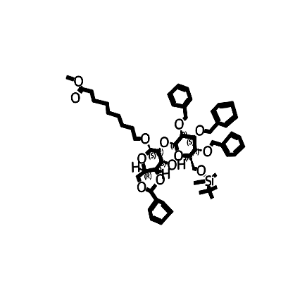 COC(=O)CCCCCCCCO[C@H]1O[C@@H]2COC(c3ccccc3)O[C@H]2[C@H](O)[C@H]1O[C@H]1O[C@H](CO[Si](C)(C)C(C)(C)C)[C@@H](OCc2ccccc2)[C@H](OCc2ccccc2)[C@H]1OCc1ccccc1